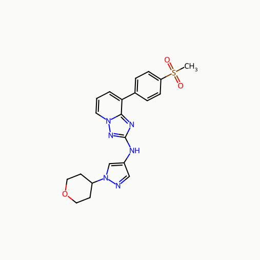 CS(=O)(=O)c1ccc(-c2cccn3nc(Nc4cnn(C5CCOCC5)c4)nc23)cc1